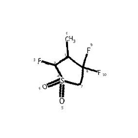 CC1C(F)S(=O)(=O)CC1(F)F